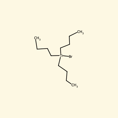 CCC[CH2][Ti]([Br])([CH2]CCC)[CH2]CCC